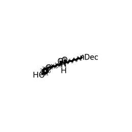 CCCCCCCCCCCCCCCCCC(=O)NC(=O)CCCCCOc1ccc(O)cc1